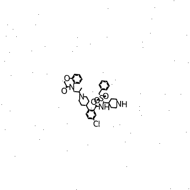 CC(CN1C(=O)COc2ccccc21)N1CCC(c2ccc(Cl)cc2C(=O)NC(C2CCNCC2)S(=O)(=O)Cc2ccccc2)CC1